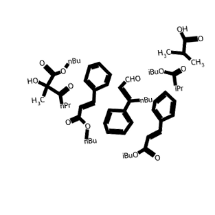 CC(C)C(=O)O.CC(C)COC(=O)C(C)C.CC(C)COC(=O)C=Cc1ccccc1.CCCCC(=CC=O)c1ccccc1.CCCCOC(=O)C(C)(O)C(=O)CCC.CCCCOC(=O)C=Cc1ccccc1